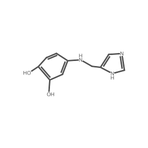 Oc1ccc(NCc2cnc[nH]2)cc1O